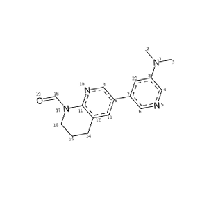 CN(C)c1cncc(-c2cnc3c(c2)CCCN3C=O)c1